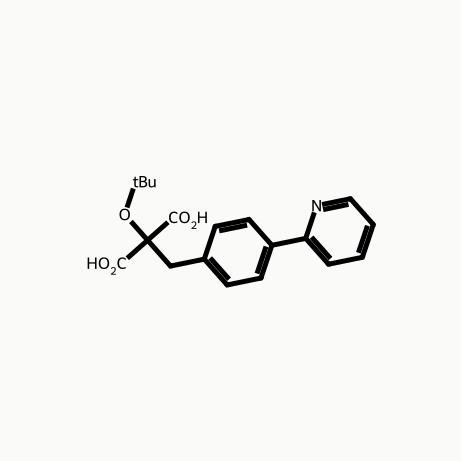 CC(C)(C)OC(Cc1ccc(-c2ccccn2)cc1)(C(=O)O)C(=O)O